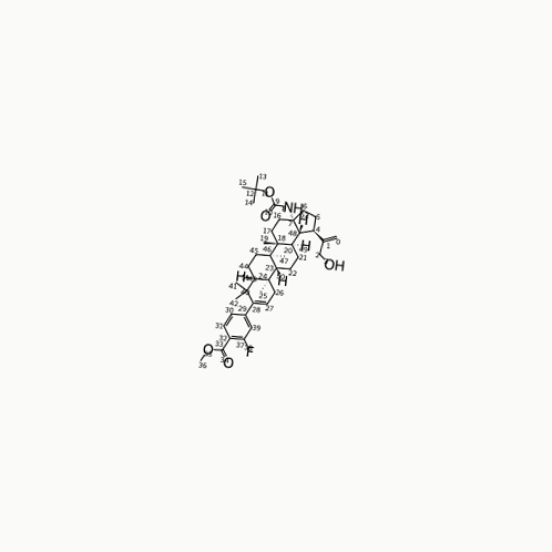 C=C(CO)[C@@H]1CC[C@]2(NC(=O)OC(C)(C)C)CC[C@]3(C)[C@H](CC[C@@H]4[C@@]5(C)CC=C(c6ccc(C(=O)OC)c(F)c6)C(C)(C)[C@@H]5CC[C@]43C)[C@@H]12